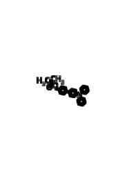 C=C(C)C(=O)OCc1ccc(-c2ccc(N(c3ccccc3)c3ccccc3)cc2)cc1